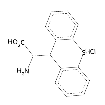 Cl.NC(C(=O)O)C1c2ccccc2Sc2ccccc21